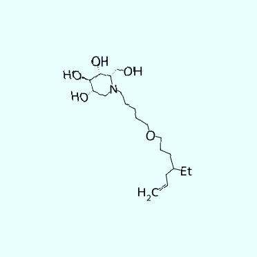 C=CCC(CC)CCCOCCCCCN1C[C@H](O)[C@@H](O)[C@H](O)[C@@H]1CO